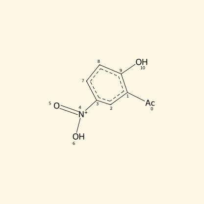 CC(=O)c1cc([N+](=O)O)ccc1O